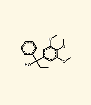 CCC(O)(c1ccccc1)c1cc(OC)c(OC)c(OC)c1